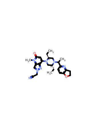 CC[C@H]1CN(C(C)c2ccc3c(n2)CCO3)[C@H](CC)CN1c1cc(=O)n(C)c2cn(CC#N)nc12